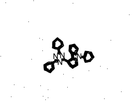 C1=CCCC(n2c3ccccc3c3c(-c4nc(C5=CCCC=C5)nc(-c5ccccc5)n4)cccc32)=C1